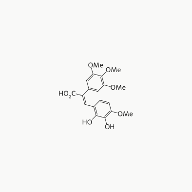 COc1ccc(/C=C(/C(=O)O)c2cc(OC)c(OC)c(OC)c2)c(O)c1O